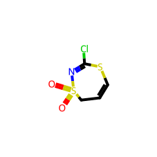 O=S1(=O)CC=CSC(Cl)=N1